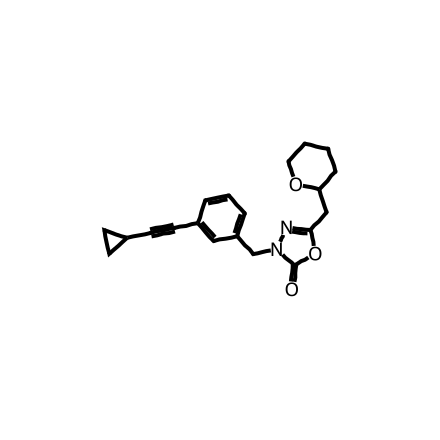 O=c1oc(CC2CCCCO2)nn1Cc1cccc(C#CC2CC2)c1